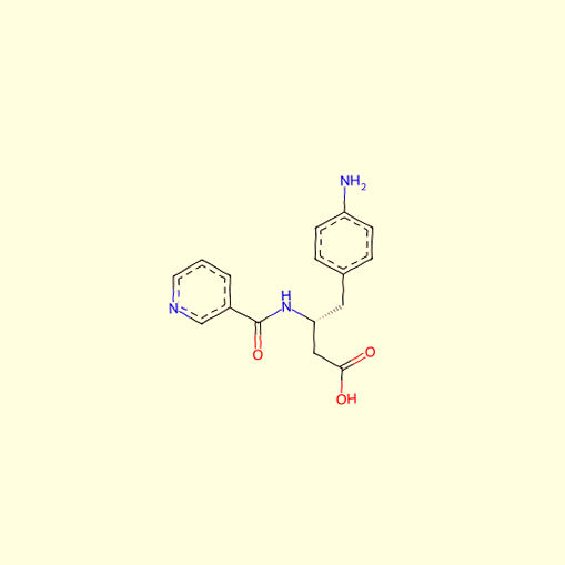 Nc1ccc(C[C@H](CC(=O)O)NC(=O)c2cccnc2)cc1